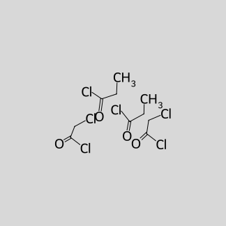 CCC(=O)Cl.CCC(=O)Cl.O=C(Cl)CCl.O=C(Cl)CCl